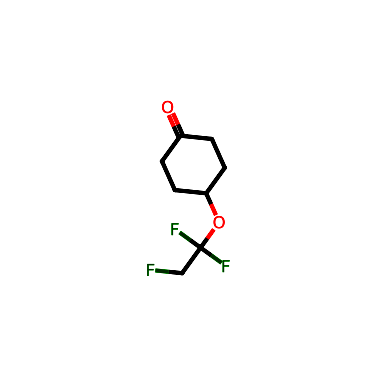 O=C1CCC(OC(F)(F)CF)CC1